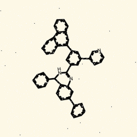 c1ccc(-c2ccc3c(c2)N=C(c2cc(-c4cccnc4)cc(-c4cc5ccccc5c5ccccc45)c2)NC3c2ccccc2)cc1